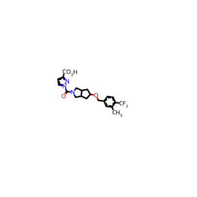 Cc1cc(COC2CC3CN(C(=O)n4ccc(C(=O)O)n4)CC3C2)ccc1C(F)(F)F